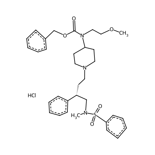 COCCN(C(=O)OCc1ccccc1)C1CCN(CC[C@H](CN(C)S(=O)(=O)c2ccccc2)c2ccccc2)CC1.Cl